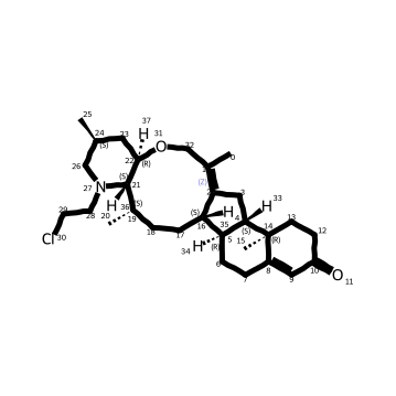 C/C1=C2\C[C@H]3[C@@H](CCC4=CC(=O)CC[C@@]43C)[C@@H]2CC[C@H](C)[C@H]2[C@@H](C[C@H](C)CN2CCCl)OC1